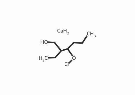 CCCC(OCl)C(CC)CO.[CaH2]